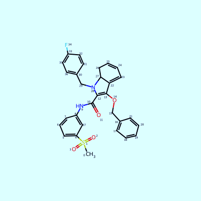 CS(=O)(=O)c1cccc(NC(=O)C2=C(OCc3ccccc3)C3=CC=CCC3N2Cc2ccc(F)cc2)c1